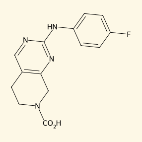 O=C(O)N1CCc2cnc(Nc3ccc(F)cc3)nc2C1